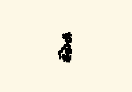 CCCCCCC(=Cc1ccc(-c2nnn[nH]2)cc1)c1ccc2c(c1)C(C)(C)CC2(C)C